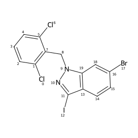 Clc1cccc(Cl)c1Cn1nc(I)c2ccc(Br)cc21